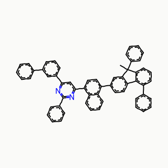 CC1(c2ccccc2)c2cc(-c3ccc(-c4cc(-c5cccc(-c6ccccc6)c5)nc(-c5ccccc5)n4)c4ccccc34)ccc2-c2c(-c3ccccc3)cccc21